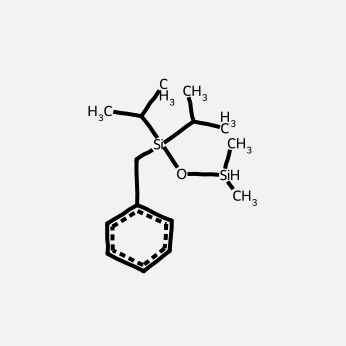 CC(C)[Si](Cc1ccccc1)(O[SiH](C)C)C(C)C